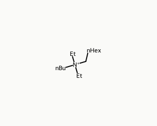 CCCCCCC[N+](CC)(CC)CCCC